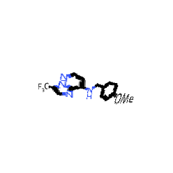 COc1ccc(CNc2ccnn3c(C(F)(F)F)cnc23)cc1